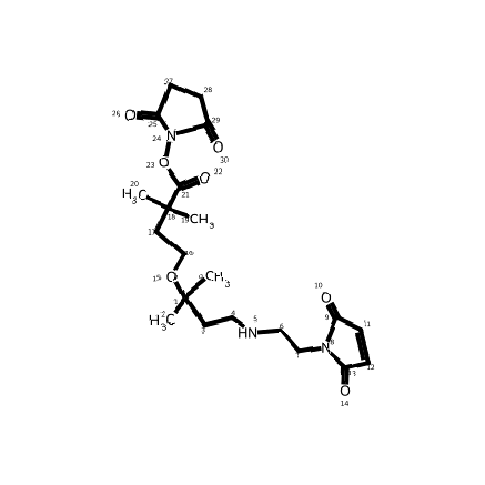 CC(C)(CCNCCN1C(=O)C=CC1=O)OCCC(C)(C)C(=O)ON1C(=O)CCC1=O